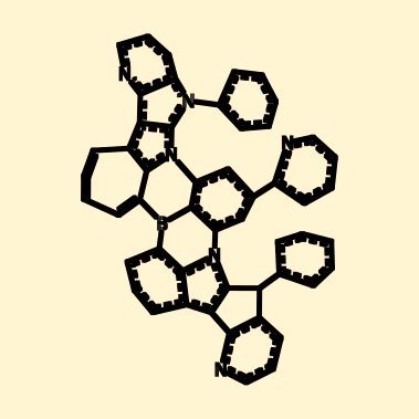 C1=CC=C2B3c4c(cc(-c5ccccn5)cc4-n4c2c(c2c5ncccc5n(-c5ccccc5)c24)C=1)-n1c2c(c4cccc3c41)-c1ncccc1C2c1ccccc1